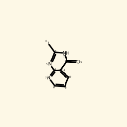 O=c1[nH]c(I)nc2ncccc12